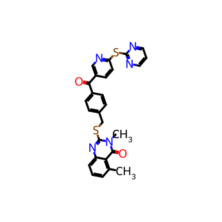 Cc1cccc2nc(SCc3ccc(C(=O)c4ccc(Sc5ncccn5)nc4)cc3)n(C)c(=O)c12